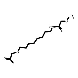 COCC(=O)NCCCCCCCCOCC(=O)I